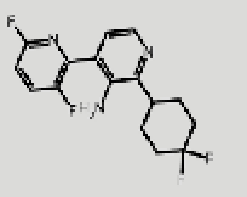 Nc1c(-c2nc(F)ccc2F)ccnc1C1CCC(F)(F)CC1